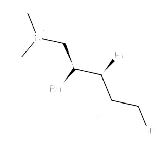 CC[C@H]([C@H](CN(C)C)[C@H](C)CC)[C@@H](C)CC(C)C